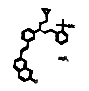 CC(=O)OC(C)(C)c1ccccc1CC[C@@H](SCC1CC1)c1cccc(C=Cc2ccc3ccc(Cl)cc3n2)c1.[MgH2]